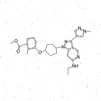 CCNc1cc2c(cn1)c(-c1cnn(C)c1)nn2C1CCC(Oc2cccc(C(=O)OC)c2C)CC1